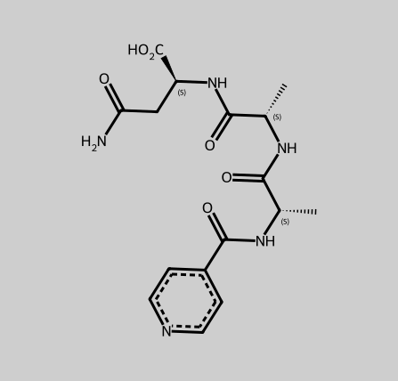 C[C@H](NC(=O)c1ccncc1)C(=O)N[C@@H](C)C(=O)N[C@@H](CC(N)=O)C(=O)O